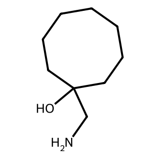 NCC1(O)CCCCCCC1